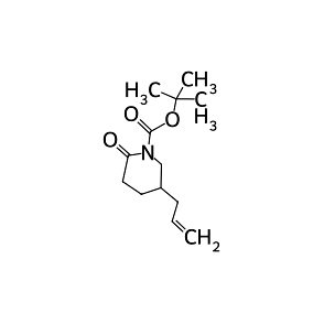 C=CCC1CCC(=O)N(C(=O)OC(C)(C)C)C1